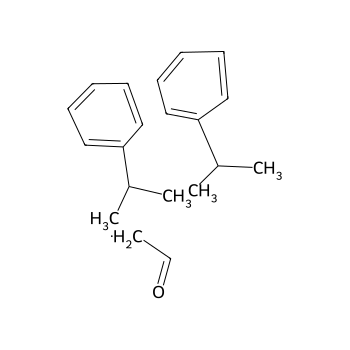 CC(C)c1ccccc1.CC(C)c1ccccc1.[CH2]C=O